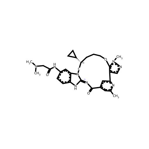 Cc1cc2cc(n1)-c1cnn(C)c1OCCC[C@@H](C1CC1)CN1/C(=N/C2=O)Nc2ccc(NC(=O)CN(C)C)cc21